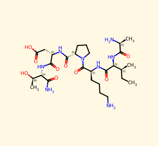 CC[C@H](C)[C@H](NC(=O)[C@H](C)N)C(=O)N[C@@H](CCCCN)C(=O)N1CCC[C@H]1C(=O)N[C@@H](CC(=O)O)C(=O)N[C@H](C(N)=O)[C@@H](C)O